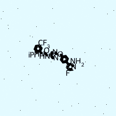 CC(C)c1ccc(C(F)(F)F)cc1NC(=O)Nc1cnc(Oc2ccc(-c3cc(F)cnc3N)cc2)nc1